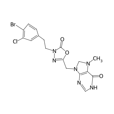 CN1CN(Cc2nn(CCc3ccc(Br)c(Cl)c3)c(=O)o2)c2nc[nH]c(=O)c21